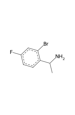 CC(N)c1ccc(F)cc1Br